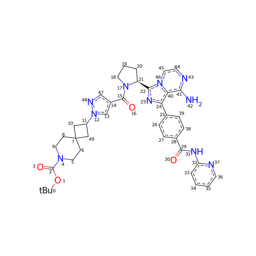 CC(C)(C)OC(=O)N1CCC2(CC1)CC(n1cc(C(=O)N3CCC[C@H]3c3nc(-c4ccc(C(=O)Nc5ccccn5)cc4)c4c(N)nccn34)cn1)C2